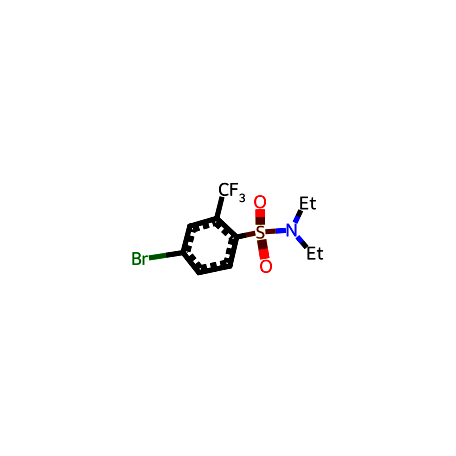 CCN(CC)S(=O)(=O)c1ccc(Br)cc1C(F)(F)F